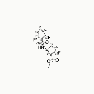 COC(=O)c1cc(NS(=O)(=O)c2c(F)cccc2F)ccc1F